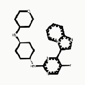 Fc1cnc(N[C@H]2CC[C@H](NC3CCOCC3)CC2)nc1-c1cnc2ccccn12